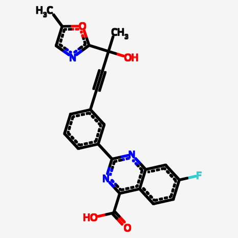 Cc1cnc(C(C)(O)C#Cc2cccc(-c3nc(C(=O)O)c4ccc(F)cc4n3)c2)o1